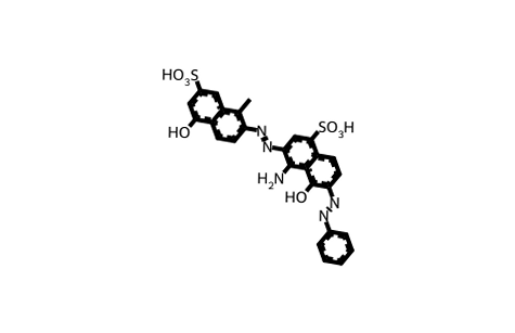 Cc1c(N=Nc2cc(S(=O)(=O)O)c3ccc(N=Nc4ccccc4)c(O)c3c2N)ccc2c(O)cc(S(=O)(=O)O)cc12